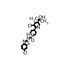 CC(C)(O)c1cnc(C2=CCN(C(=O)Nc3nc4ccc(Cl)cc4s3)CC2)c(Cl)c1